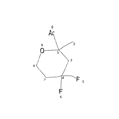 CC(=O)C1(C)CC(F)(F)CCO1